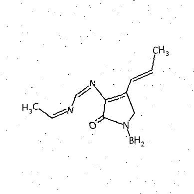 BN1CC(/C=C/C)=C(/N=C\N=C/C)C1=O